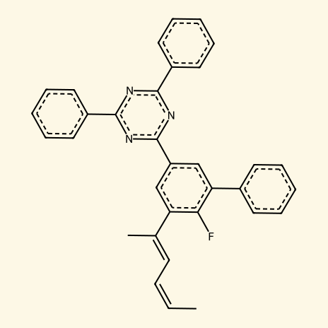 C/C=C\C=C(/C)c1cc(-c2nc(-c3ccccc3)nc(-c3ccccc3)n2)cc(-c2ccccc2)c1F